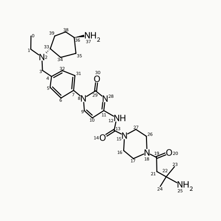 CCN(Cc1ccc(-n2ccc(NC(=O)N3CCN(C(=O)CC(C)(C)N)CC3)nc2=O)cc1)[C@H]1CC[C@H](N)CC1